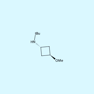 CO[C@H]1C[C@H](NC(C)(C)C)C1